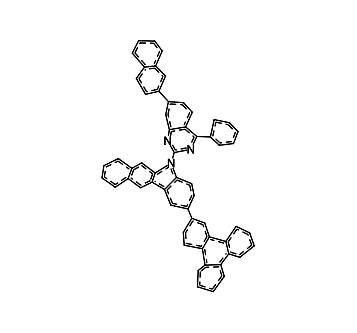 c1ccc(-c2nc(-n3c4ccc(-c5ccc6c7ccccc7c7ccccc7c6c5)cc4c4cc5ccccc5cc43)nc3cc(-c4ccc5ccccc5c4)ccc23)cc1